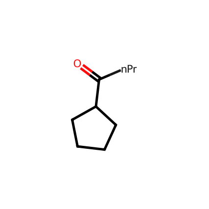 CCCC(=O)C1CCCC1